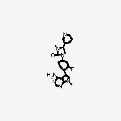 CN1C(=O)N(c2ccc(-c3cn(C)c4ncnc(N)c34)c(F)c2)CC1c1cccnc1